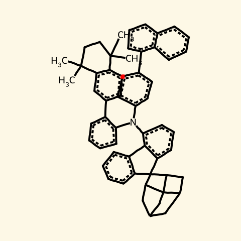 CC1(C)CCC(C)(C)c2cc(-c3ccccc3N(c3ccc(-c4cccc5ccccc45)cc3)c3cccc4c3-c3ccccc3C43C4CC5CC6CC3C64C5)ccc21